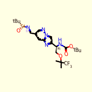 CC(C)(C)OC(=O)N[C@@H](COC(C)(C)C(F)(F)F)c1cn2ncc(/C=N/[S+]([O-])C(C)(C)C)cc2n1